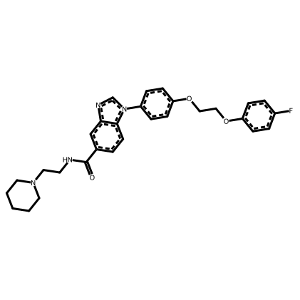 O=C(NCCN1CCCCC1)c1ccc2c(c1)ncn2-c1ccc(OCCOc2ccc(F)cc2)cc1